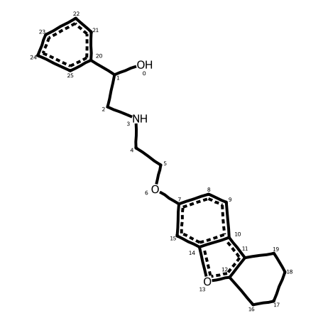 OC(CNCCOc1ccc2c3c(oc2c1)CCCC3)c1ccccc1